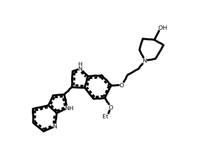 CCOc1cc2c(-c3cc4cccnc4[nH]3)c[nH]c2cc1OCCN1CCC(O)CC1